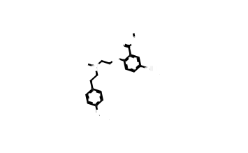 COC(=O)c1cc(N)ccc1OCCN(C)CCc1ccc(N)cc1